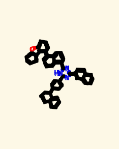 c1ccc2cc(C3=NC(c4cccc5c(-c6cccc7oc8ccccc8c67)cccc45)NC(c4ccc(-c5cccc6ccccc56)cc4)=N3)ccc2c1